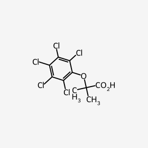 CC(C)(Oc1c(Cl)c(Cl)c(Cl)c(Cl)c1Cl)C(=O)O